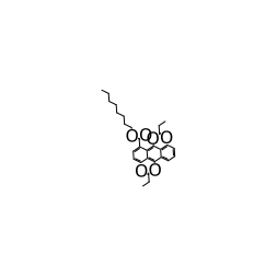 CCCCCCCCOC(=O)c1cccc2c(OC(=O)CC)c3ccccc3c(OC(=O)CC)c12